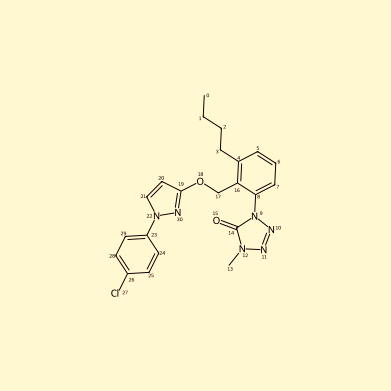 CCCCc1cccc(-n2nnn(C)c2=O)c1COc1ccn(-c2ccc(Cl)cc2)n1